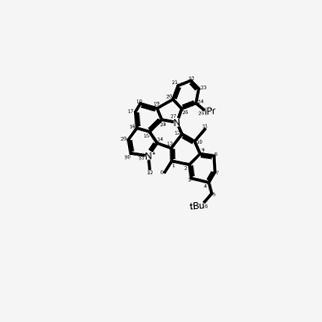 Cc1c2cc(CC(C)(C)C)ccc2c(C)c2c1c1c3c(ccc4c5cccc(C(C)C)c5n2c43)cc[n+]1C